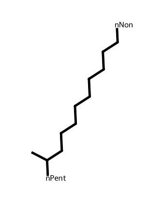 [CH2]CCCCCCCCCCCCCCCCCC(C)CCCC[CH2]